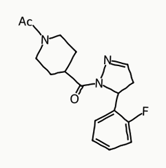 CC(=O)N1CCC(C(=O)N2N=CCC2c2ccccc2F)CC1